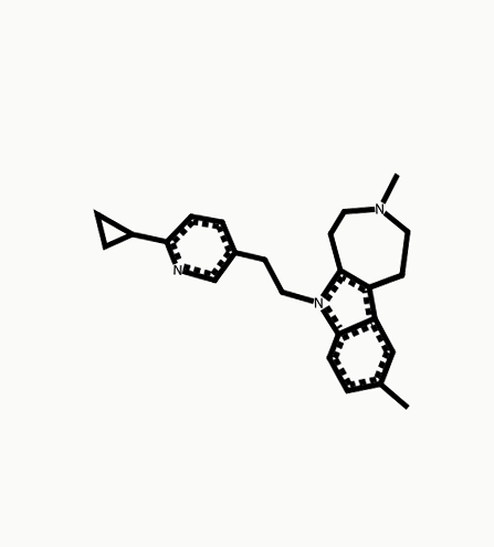 Cc1ccc2c(c1)c1c(n2CCc2ccc(C3CC3)nc2)CCN(C)CC1